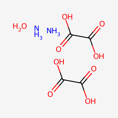 N.N.O.O=C(O)C(=O)O.O=C(O)C(=O)O